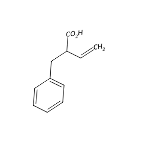 C=CC(Cc1ccccc1)C(=O)O